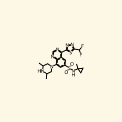 CC1CN(c2cc(S(=O)(=O)NC3(C)CC3)cc3c(-c4nnc(C(F)F)s4)ncnc23)CC(C)N1